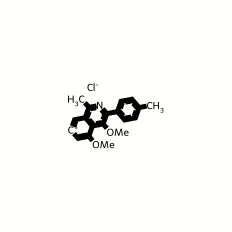 COC1=C[C+]=Cc2c(C)nc(-c3ccc(C)cc3)c(OC)c21.[Cl-]